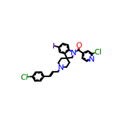 O=C(c1ccnc(Cl)c1)N1CC2(CCN(C/C=C/c3ccc(Cl)cc3)CC2)c2cc(I)ccc21